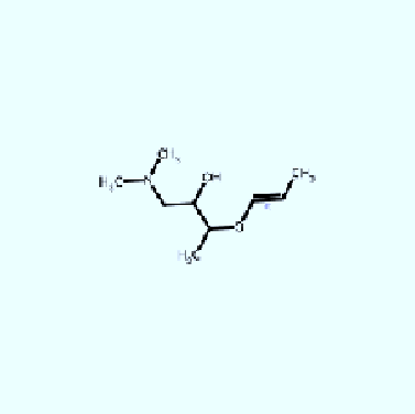 C/C=C/OC(C)C(O)CN(C)C